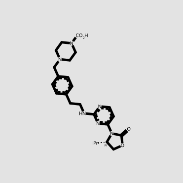 CC(C)[C@H]1COC(=O)N1c1ccnc(NCCc2ccc(CN3CCN(C(=O)O)CC3)cc2)n1